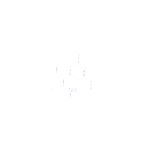 CC(C)c1cccc(C(C)C)c1.CCCCC(Cl)NC